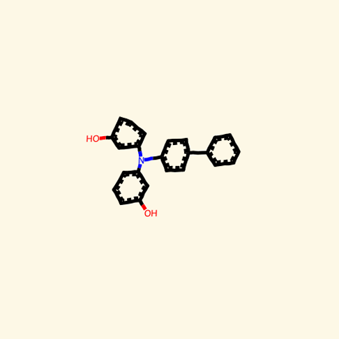 Oc1cccc(N(c2ccc(-c3ccccc3)cc2)c2cccc(O)c2)c1